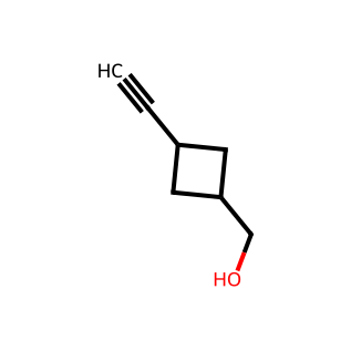 C#CC1CC(CO)C1